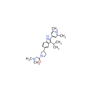 Cc1cc(-c2[nH]c3ccc(C4CCN(C(=O)CN(C)C)C4)cc3c2C(C)C)cc(C)n1